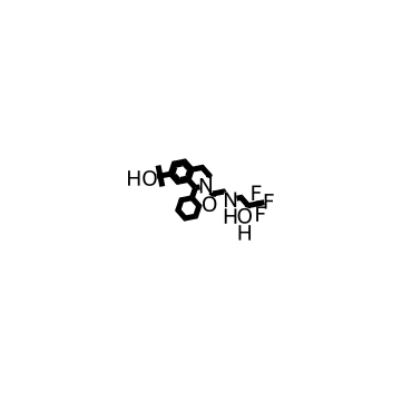 CC(C)(O)c1ccc2c(c1)C(C1CCCCC1)N(C(=O)CNCC(O)C(F)(F)F)CC2